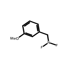 COc1cccc(CN(F)F)c1